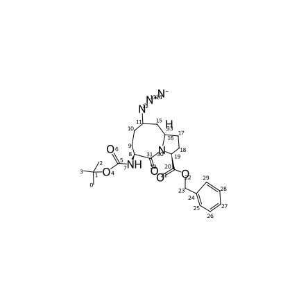 CC(C)(C)OC(=O)N[C@H]1CCC(N=[N+]=[N-])C[C@H]2CC[C@@H](C(=O)OCc3ccccc3)N2C1=O